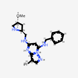 CO[C@H]1CN[C@H](CNc2cc(NCc3ccccc3)n3ncc(C(C)C)c3n2)C1